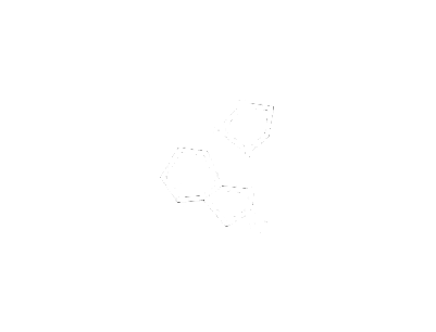 [TeH2].c1ccc2oncc2c1.c1conn1